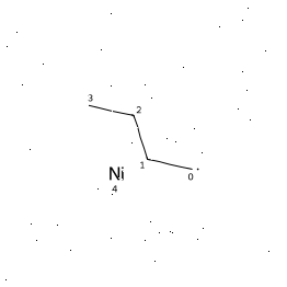 [CH2]CCC.[Ni]